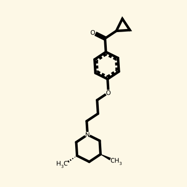 C[C@H]1C[C@H](C)CN(CCCOc2ccc(C(=O)C3CC3)cc2)C1